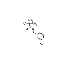 CC(C)(C)[S@@+]([O-])/N=C/c1cccc(Cl)c1